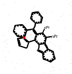 CCCc1c(CCC)c2c(c(C3=CC=CC3)c1=C(c1ccccc1)c1ccccc1)[C]=c1ccccc1=2